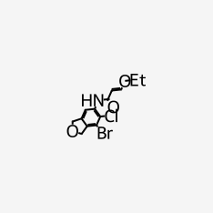 CCO/C=C/C(=O)Nc1cc2c(c(Br)c1Cl)COC2